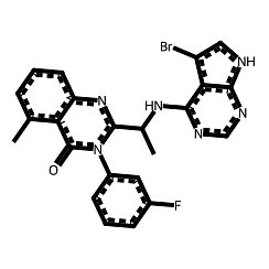 Cc1cccc2nc(C(C)Nc3ncnc4[nH]cc(Br)c34)n(-c3cccc(F)c3)c(=O)c12